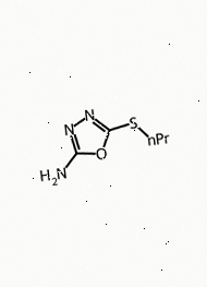 CCCSc1nnc(N)o1